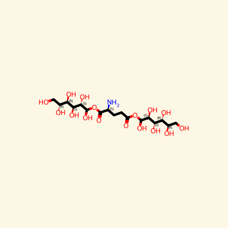 N[C@@H](CCC(=O)OC(O)[C@@H](O)[C@@H](O)[C@H](O)[C@H](O)CO)C(=O)OC(O)[C@@H](O)[C@@H](O)[C@H](O)[C@H](O)CO